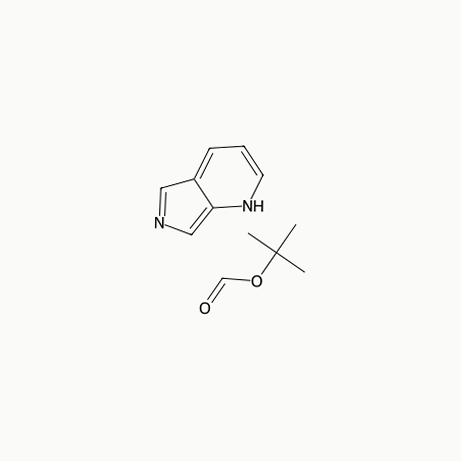 CC(C)(C)OC=O.c1c[nH]c2cncc-2c1